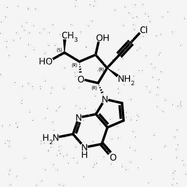 C[C@H](O)[C@H]1O[C@@H](n2ccc3c(=O)[nH]c(N)nc32)[C@@](N)(C#CCl)C1O